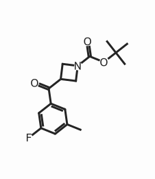 Cc1cc(F)cc(C(=O)C2CN(C(=O)OC(C)(C)C)C2)c1